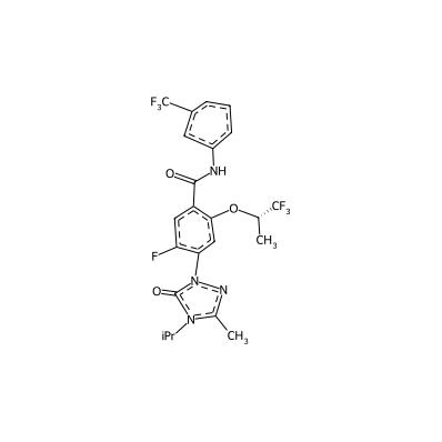 Cc1nn(-c2cc(O[C@@H](C)C(F)(F)F)c(C(=O)Nc3cccc(C(F)(F)F)c3)cc2F)c(=O)n1C(C)C